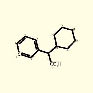 O=C(O)C(C1=CC=C[C+]=C1)C1CCCCC1